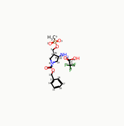 CS(=O)(=O)OC[C@@H]1CN(C(=O)OCc2ccccc2)C[C@@H]1N.O=C(O)C(F)(F)F